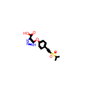 CC(C)S(=O)(=O)C#Cc1ccc(Oc2[nH]nnc2C(=O)O)cc1